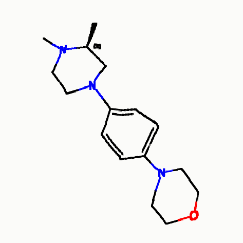 C[C@H]1CN(c2ccc(N3CCOCC3)cc2)CCN1C